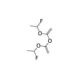 C=C(OC(=C)OC(C)F)OC(C)F